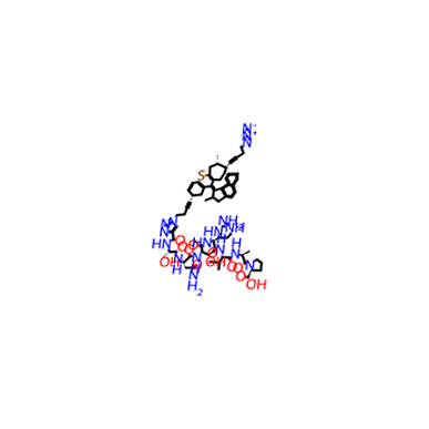 CC1Cc2ccc3ccccc3c2/C1=C1/C2=C(C=C[C@@H](C#CCCn3cc(C(=O)N[C@@H](CO)C(=O)N[C@@H](CC(N)=O)C(=O)N[C@H](C(=O)N[C@@H](CCCNC(=N)N)C(=O)N[C@H](C(=O)N[C@@H](C)C(=O)N4CCC[C@H]4C(=O)O)C(C)C)[C@@H](C)O)nn3)C2)SC2=C1CC[C@@H](C#CCCN=[N+]=[N-])[C@@H](C)C2